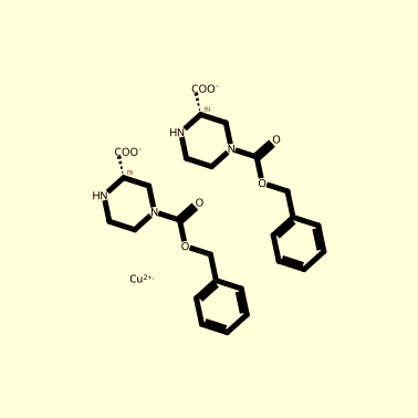 O=C([O-])[C@@H]1CN(C(=O)OCc2ccccc2)CCN1.O=C([O-])[C@@H]1CN(C(=O)OCc2ccccc2)CCN1.[Cu+2]